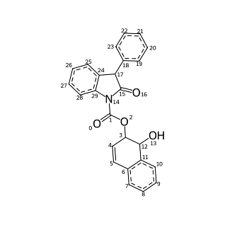 O=C(OC1C=Cc2ccccc2C1O)N1C(=O)C(c2ccccc2)c2ccccc21